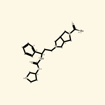 CC[C@H](C)C(=O)N1CC2CN(CCC(NC(=O)OC3CCOC3)c3ccccc3)CC2C1